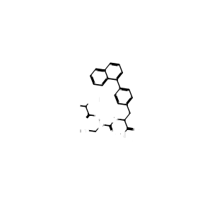 CC(C)CN(OC(=O)C(C)O)C(=O)NC(Cc1ccc(-c2cccc3ccccc23)cc1)C(N)=O